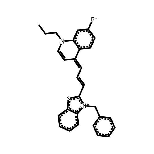 CCCN1C=C/C(=C\C=C\c2sc3ccccc3[n+]2Cc2ccccc2)c2ccc(Br)cc21